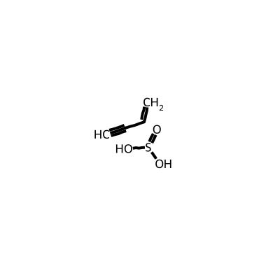 C#CC=C.O=S(O)O